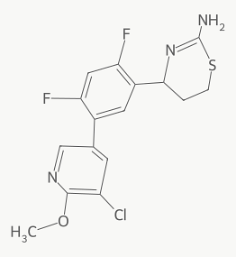 COc1ncc(-c2cc(C3CCSC(N)=N3)c(F)cc2F)cc1Cl